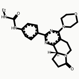 CCNC(=O)Nc1ccc(-c2nc3c(c(N4CCOCC4)n2)CCN2C(=O)CC[C@H]32)cc1